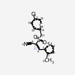 Cc1ccsc1/C=C(/C#N)S(=O)(=O)Cc1ccc(Cl)cc1